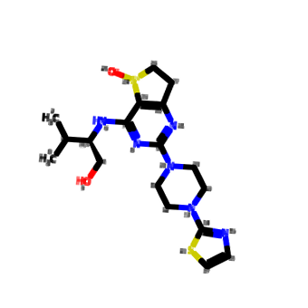 CC(C)[C@H](CO)Nc1nc(N2CCN(c3nccs3)CC2)nc2c1[S+]([O-])CC2